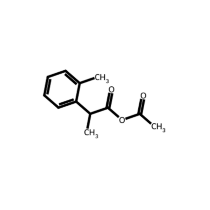 CC(=O)OC(=O)C(C)c1ccccc1C